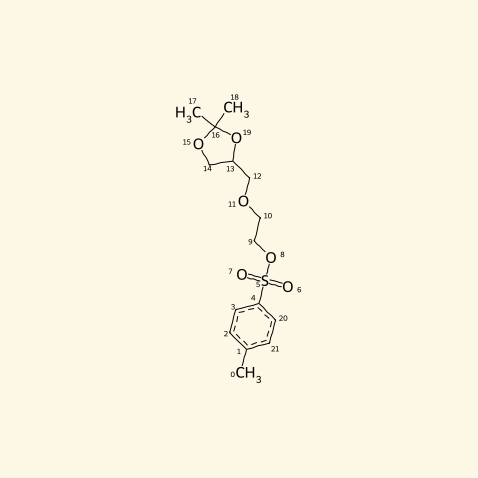 Cc1ccc(S(=O)(=O)OCCOCC2COC(C)(C)O2)cc1